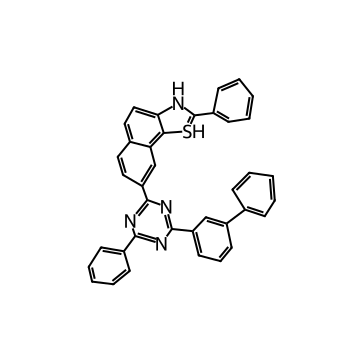 c1ccc(C2=[SH]c3c(ccc4ccc(-c5nc(-c6ccccc6)nc(-c6cccc(-c7ccccc7)c6)n5)cc34)N2)cc1